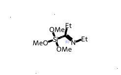 CC/N=C(\CC)[Si](OC)(OC)OC